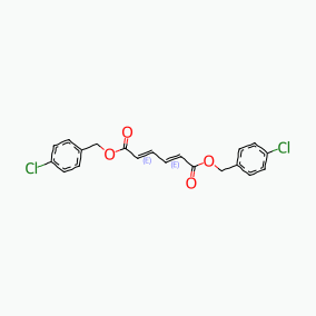 O=C(/C=C/C=C/C(=O)OCc1ccc(Cl)cc1)OCc1ccc(Cl)cc1